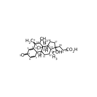 C=C1C2=CC(=O)C=C[C@]2(C)[C@@H]2CC[C@@]3(C)[C@@H](CCC3(O)CCC(=O)O)[C@@H]2C1C